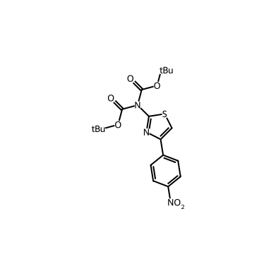 CC(C)(C)OC(=O)N(C(=O)OC(C)(C)C)c1nc(-c2ccc([N+](=O)[O-])cc2)cs1